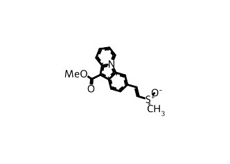 COC(=O)c1c2ccc(C=C[S+](C)[O-])cc2n2ccccc12